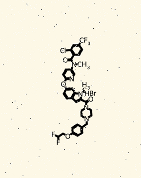 Br.CN(C(=O)c1ccc(C(F)(F)F)cc1Cl)c1ccc(Oc2ccc3cc(C(=O)N4CCN(Cc5ccc(OCC(F)F)cc5)CC4)n(C)c3c2)nc1